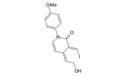 COc1ccc(-n2ccc(=C/CO)/c(=C\I)c2=O)cc1